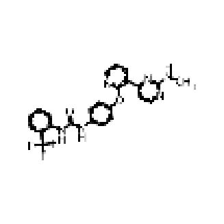 CNc1nccc(-c2cccnc2Oc2ccc(NC(=O)Nc3ccccc3C(F)(F)F)cc2)n1